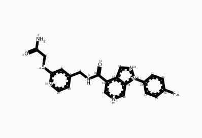 NC(=O)CSc1cc(CNC(=O)c2cncc3c2cnn3-c2ccc(F)cc2)ccn1